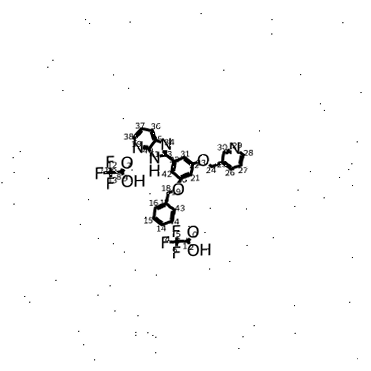 O=C(O)C(F)(F)F.O=C(O)C(F)(F)F.c1ccc(COc2cc(OCc3cccnc3)cc(-c3nc4cccnc4[nH]3)c2)cc1